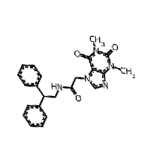 Cn1c(=O)c2c(ncn2CC(=O)NCC(c2ccccc2)c2ccccc2)n(C)c1=O